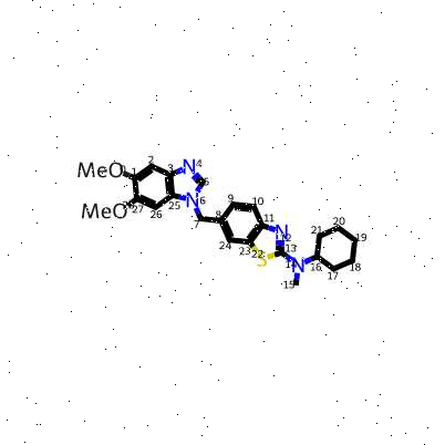 COc1cc2ncn(Cc3ccc4nc(N(C)C5CCCCC5)sc4c3)c2cc1OC